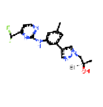 CC[C@](C)(O)Cn1cc(-c2cc(C)cc(Nc3nccc(C(F)F)n3)c2)cn1